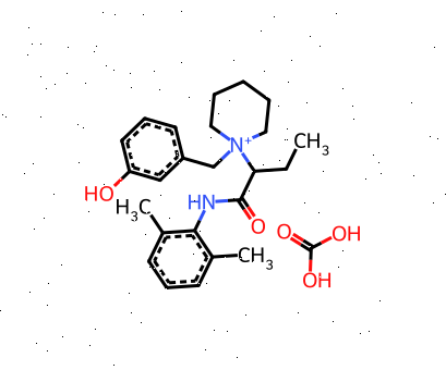 CCC(C(=O)Nc1c(C)cccc1C)[N+]1(Cc2cccc(O)c2)CCCCC1.O=C(O)O